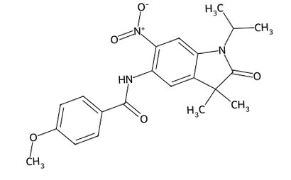 COc1ccc(C(=O)Nc2cc3c(cc2[N+](=O)[O-])N(C(C)C)C(=O)C3(C)C)cc1